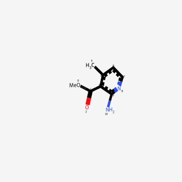 COC(=O)c1c(C)ccnc1N